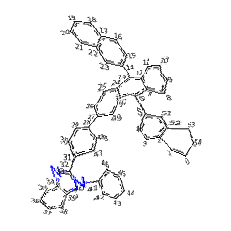 C1=Cc2ccc(-c3c4ccccc4c(-c4ccc5ccccc5c4)c4ccc(-c5ccc(-c6nc7ccccc7n6-c6ccccc6)cc5)cc34)cc2CC1